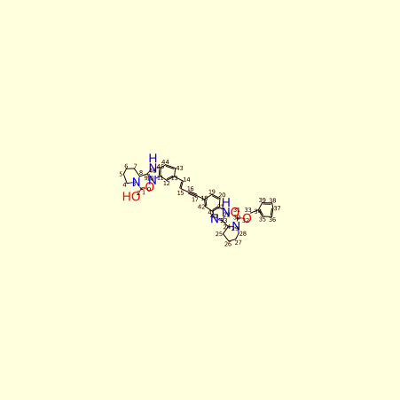 O=C(O)N1CCCCC1c1nc2cc(C=CC#Cc3ccc4[nH]c(C5CCCCN5C(=O)OCc5ccccc5)nc4c3)ccc2[nH]1